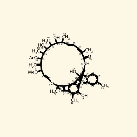 C=C1C(OC)/C=C/OC2(C)Oc3c(C)c(O)c4c(O)c(c5c(nc6cc(C)ccn65)c4c3C2=O)NC(=O)/C(C)=C\C=C\C(C)C(O)C(C)C(O)C(C)C1OC(C)=O